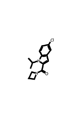 CC(C)n1c(C(=O)N2CCC2)cc2cc(Cl)ccc21